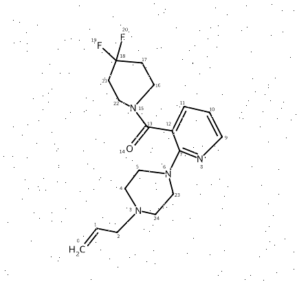 C=CCN1CCN(c2ncccc2C(=O)N2CCC(F)(F)CC2)CC1